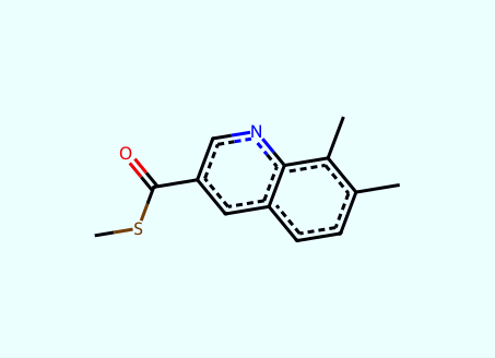 CSC(=O)c1cnc2c(C)c(C)ccc2c1